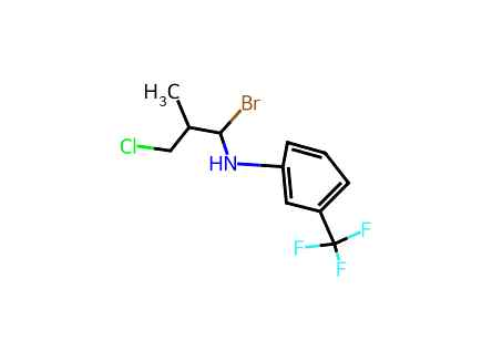 CC(CCl)C(Br)Nc1cccc(C(F)(F)F)c1